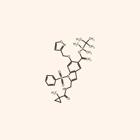 C=C(O[Si](C)(C)C(C)(C)C)c1cc2cc(CNC(=O)C3(C)CC3)n(S(=O)(=O)c3ccccc3)c2cc1OCc1ccon1